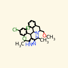 CCc1n[nH]c(CC)c1C(c1c(Cl)cc(Cl)cc1Cl)C1NC(COC)Cc2ccccc21